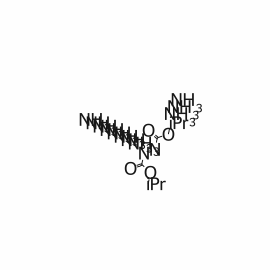 CC(C)OC(=O)N=NC(=O)OC(C)C.N.N.N.N.N.N.N.N.N.N.N